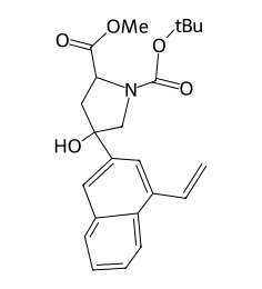 C=Cc1cc(C2(O)CC(C(=O)OC)N(C(=O)OC(C)(C)C)C2)cc2ccccc12